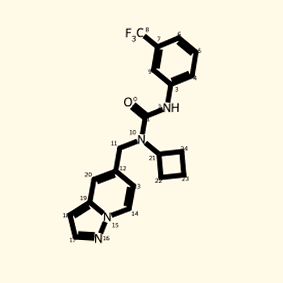 O=C(Nc1cccc(C(F)(F)F)c1)N(Cc1ccn2nccc2c1)C1CCC1